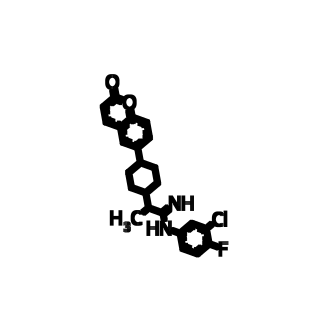 CC(C(=N)Nc1ccc(F)c(Cl)c1)C1CCC(c2ccc3oc(=O)ccc3c2)CC1